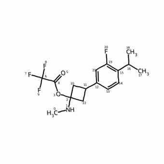 CNC1(OC(=O)C(F)(F)F)CC(c2ccc(C(C)C)c(F)c2)C1